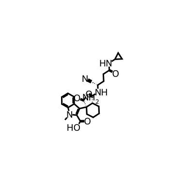 Cn1c(C(=O)O)c([C@]2(C(N)=O)CCCC[C@H]2C(=O)N[C@H](C#N)CCC(=O)NC2CC2)c2ccccc21